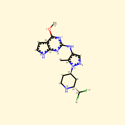 CCOc1nc(Nc2cnn([C@@H]3CCN[C@@H](C(F)F)C3)c2C)nc2[nH]ccc12